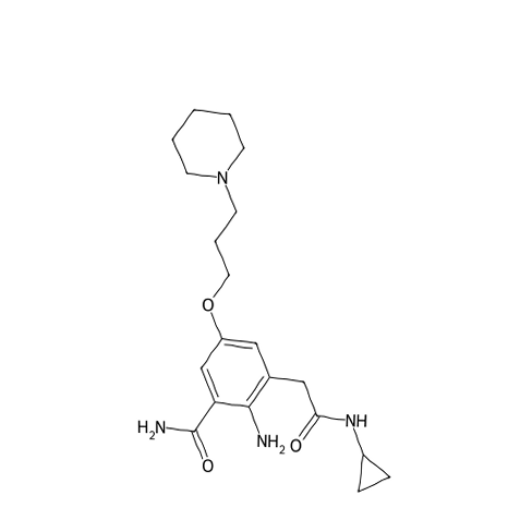 NC(=O)c1cc(OCCCN2CCCCC2)cc(CC(=O)NC2CC2)c1N